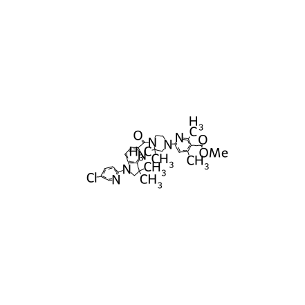 COC(=O)c1c(C)cc(N2CCN(C(=O)c3ccc4c(n3)C(C)(C)CN4c3ccc(Cl)cn3)C(C)(C)C2)nc1C